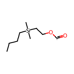 CCCC[Si](C)(C)CCO[C]=O